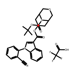 CC(C)(C)OC(=O)N1C2COCC1CC(OC(=O)c1cn(-c3ccccc3C#N)c3ccccc13)C2.O=C(O)C(F)(F)F